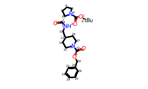 CC(C)(C)OC(=O)N1CCC[C@H]1C(=O)NCC1CCN(C(=O)OCc2ccccc2)CC1